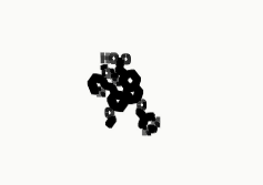 CCOc1cccc(C(c2ncccc2OC)n2nc(C(=O)O)c3c2-c2ccc(OCc4cncnc4)cc2CC3)c1